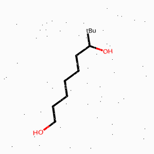 CC(C)(C)C(O)CCCCCCO